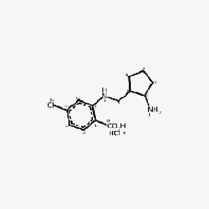 Cl.NC1CCCC1CNc1cc(Cl)ccc1C(=O)O